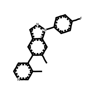 Cc1cnccc1-c1cc2cnn(-c3ccc(F)cc3)c2cc1C